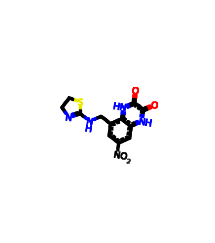 O=c1[nH]c2cc([N+](=O)[O-])cc(CNC3=NCCS3)c2[nH]c1=O